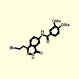 COc1ccc(C(=O)Nc2ccc3c(CCC(C)(C)C)n[nH]c(=O)c3c2)cc1OC